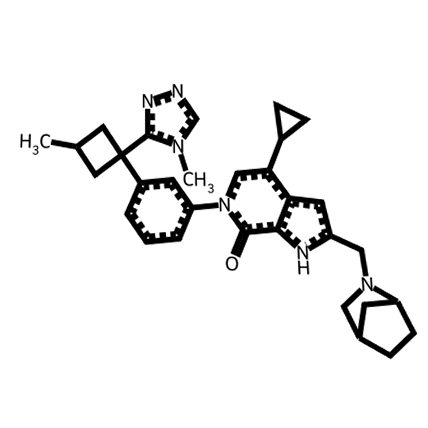 CC1CC(c2cccc(-n3cc(C4CC4)c4cc(CN5CC6CCC5C6)[nH]c4c3=O)c2)(c2nncn2C)C1